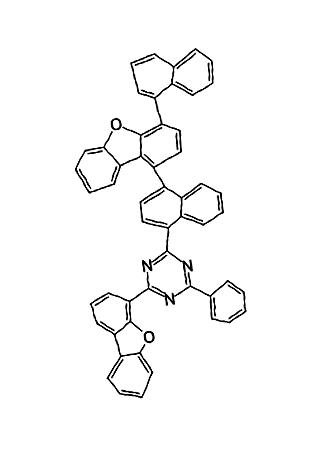 c1ccc(-c2nc(-c3ccc(-c4ccc(-c5cccc6ccccc56)c5oc6ccccc6c45)c4ccccc34)nc(-c3cccc4c3oc3ccccc34)n2)cc1